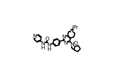 CC(C)N1CCc2c(nc(-c3ccc(NC(=O)Nc4ccncc4)cc3)nc2N2CC3CCC(C3)O2)C1